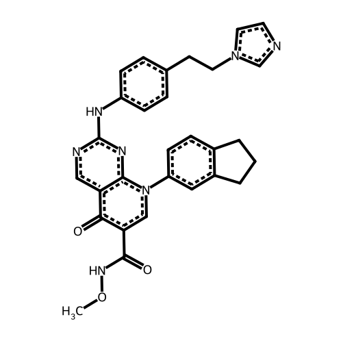 CONC(=O)c1cn(-c2ccc3c(c2)CCC3)c2nc(Nc3ccc(CCn4ccnc4)cc3)ncc2c1=O